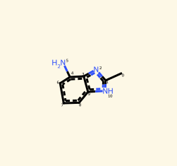 Cc1nc2c(N)cccc2[nH]1